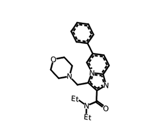 CCN(CC)C(=O)c1nc2ccc(-c3ccccc3)cn2c1CN1CCOCC1